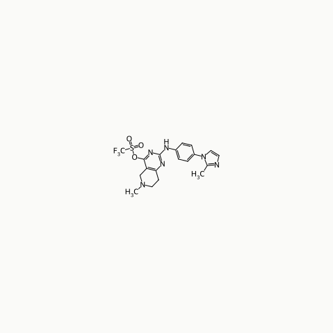 Cc1nccn1-c1ccc(Nc2nc3c(c(OS(=O)(=O)C(F)(F)F)n2)CN(C)CC3)cc1